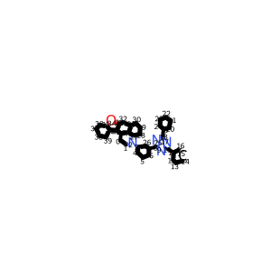 C1=CN(c2cccc(-c3nc(-c4ccccc4)nc(-c4ccccc4)n3)c2)c2cccc3cc4oc5ccccc5c4c1c23